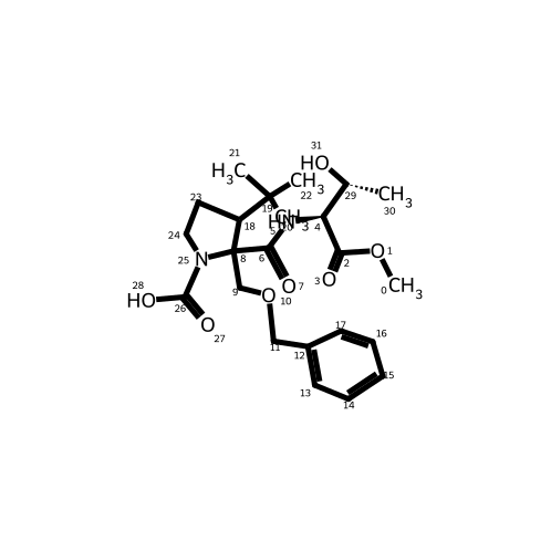 COC(=O)[C@@H](NC(=O)C1(COCc2ccccc2)C(C(C)(C)C)CCN1C(=O)O)[C@@H](C)O